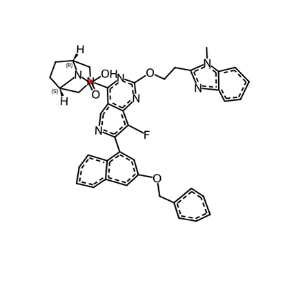 Cn1c(CCOc2nc(N3C[C@H]4CC[C@@H](C3)N4C(=O)O)c3cnc(-c4cc(OCc5ccccc5)cc5ccccc45)c(F)c3n2)nc2ccccc21